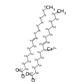 CCCCCCCC/C=C/CCCCCCCC(=O)[O-].CCCCCCCC/C=C/CCCCCCCC(=O)[O-].[Ca+2]